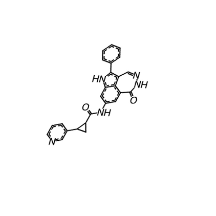 O=C1NN=Cc2c(-c3ccccc3)[nH]c3cc(NC(=O)C4CC4c4cccnc4)cc1c23